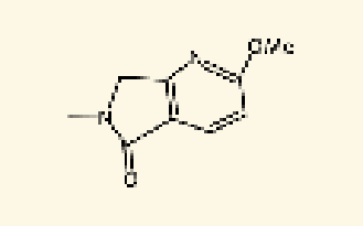 COc1ccc2c(n1)CN(C)C2=O